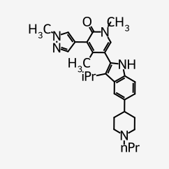 CCCN1CCC(c2ccc3[nH]c(-c4cn(C)c(=O)c(-c5cnn(C)c5)c4C)c(C(C)C)c3c2)CC1